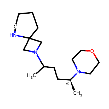 CC(CC[C@H](C)N1CCOCC1)N1CC2(CCCCN2)C1